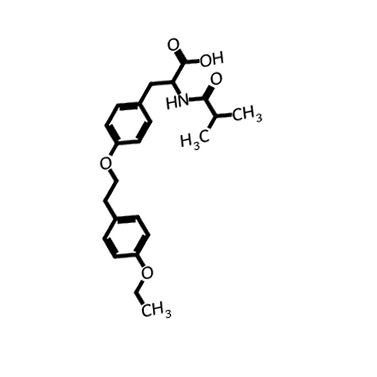 CCOc1ccc(CCOc2ccc(CC(NC(=O)C(C)C)C(=O)O)cc2)cc1